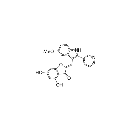 COc1ccc2[nH]c(-c3cccnc3)c(C=C3Oc4cc(O)cc(O)c4C3=O)c2c1